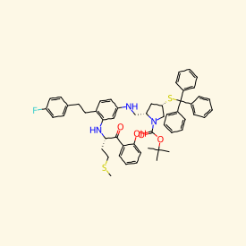 CSCC[C@H](Nc1cc(NC[C@@H]2C[C@H](SC(c3ccccc3)(c3ccccc3)c3ccccc3)CN2C(=O)OC(C)(C)C)ccc1CCc1ccc(F)cc1)C(=O)c1ccccc1O